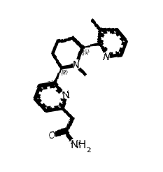 Cc1cccnc1[C@@H]1CCC[C@H](c2cccc(CC(N)=O)n2)N1C